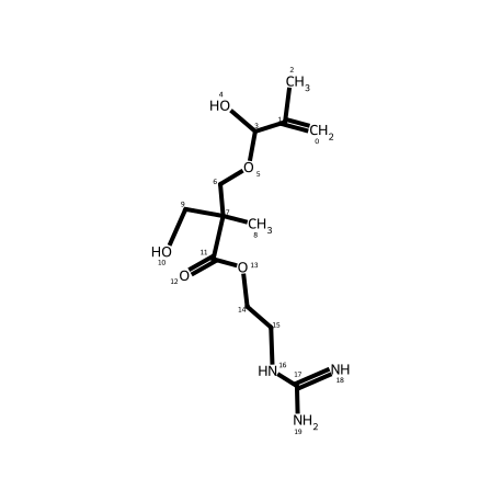 C=C(C)C(O)OCC(C)(CO)C(=O)OCCNC(=N)N